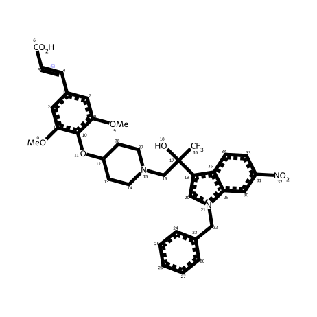 COc1cc(/C=C/C(=O)O)cc(OC)c1OC1CCN(CC(O)(c2cn(Cc3ccccc3)c3cc([N+](=O)[O-])ccc23)C(F)(F)F)CC1